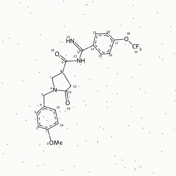 COc1ccc(CN2CC(C(=O)NC(=N)c3ccc(OC(F)(F)F)cc3)CC2=O)cc1